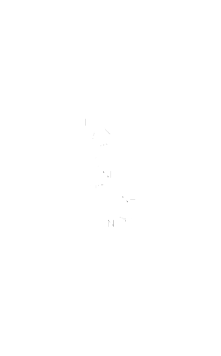 O=C(NC1C[C@@H]1c1cccc(F)c1)[C@@H]1CN[C@H](C(=O)N2CCCC2)C1